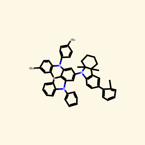 Cc1ccccc1-c1ccc2c(c1)C1(C)CCCCC1(C)N2c1cc2c3c(c1)N(c1ccc(C(C)(C)C)cc1)c1ccc(C(C)(C)C)cc1B3c1ccccc1N2c1ccccc1